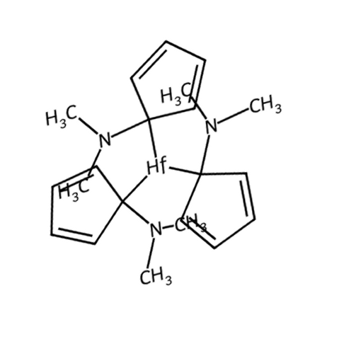 CN(C)[C]1([Hf]([C]2(N(C)C)C=CC=C2)[C]2(N(C)C)C=CC=C2)C=CC=C1